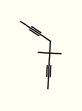 [CH2]C#CC(C)(C)CC#CC